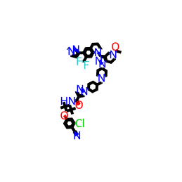 CC(=O)N1CCc2c(c(N3CCCc4cc(-c5ccn(C)n5)c(C(F)F)cc43)nn2C2CCN(CC3CCC(n4cc(C(=O)NC5C(C)(C)C(Oc6ccc(C#N)c(Cl)c6)C5(C)C)cn4)CC3)CC2)C1